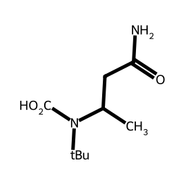 CC(CC(N)=O)N(C(=O)O)C(C)(C)C